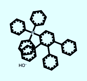 [OH-].c1ccc(-c2ccc([P+](c3ccccc3)(c3ccccc3)c3ccccc3)c(-c3ccccc3)c2-c2ccccc2)cc1